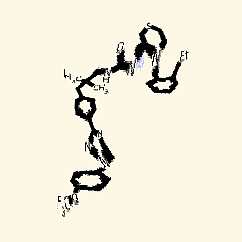 CCc1ccccc1N1CCSC/C1=N\C(=O)NCC(C)(C)Cc1ccc(-c2ncn(-c3ccc(OC(F)(F)F)cc3)n2)cc1